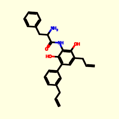 C=CCc1cccc(-c2cc(CC=C)c(O)c(NC(=O)C(N)Cc3ccccc3)c2O)c1